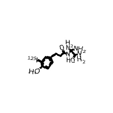 NC(=O)C(N)(N)NC(=O)CCc1ccc(O)c([125I])c1